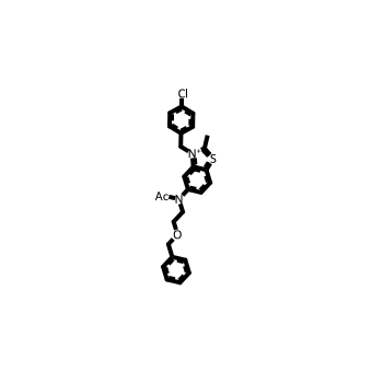 CC(=O)N(CCOCc1ccccc1)c1ccc2sc(C)[n+](Cc3ccc(Cl)cc3)c2c1